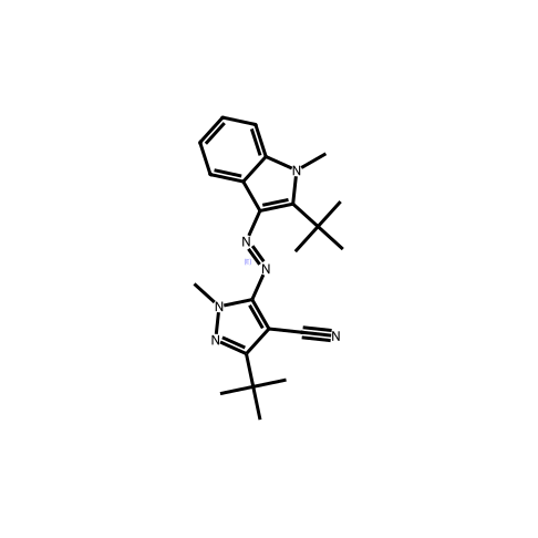 Cn1nc(C(C)(C)C)c(C#N)c1/N=N/c1c(C(C)(C)C)n(C)c2ccccc12